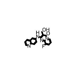 O=c1c(CO)c(Nc2ccc3ncccc3c2)nc2c(F)cccn12